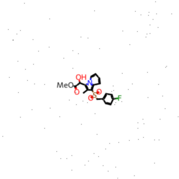 COC(=O)C(O)c1c(C)c(S(=O)(=O)Cc2ccc(F)cc2)c2ccccn12